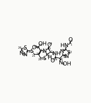 O=CNc1nc(/C(=N\O)C(=O)NC2C(=O)N3C(C(=O)O)=C(CSc4nncs4)CS[C@H]23)ns1